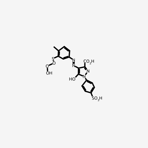 Cc1ccc(N=Nc2c(C(=O)O)nn(-c3ccc(S(=O)(=O)O)cc3)c2O)cc1SOOO